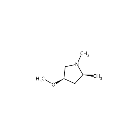 CO[C@@H]1C[C@H](C)N(C)C1